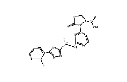 C[C@H](Nc1nccc(N2C(=O)OCC2[C@@H](C)O)n1)c1nnc(-c2ccccc2F)o1